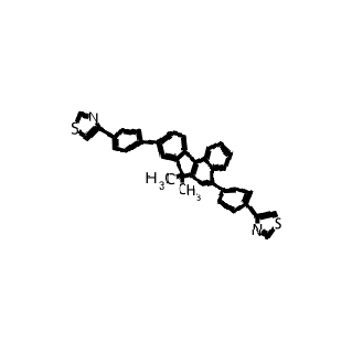 CC1(C)c2cc(-c3ccc(-c4cscn4)cc3)ccc2-c2c1cc(-c1ccc(-c3cscn3)cc1)c1ccccc21